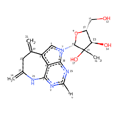 [3H]c1nc2c3c(cn([C@@H]4O[C@H](CO)[C@@H](O)C4(C)O)c3n1)C(=C)CC(=C)N2